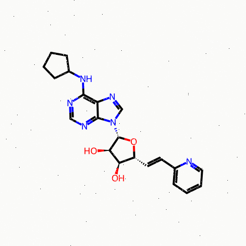 O[C@@H]1[C@H](O)[C@@H](C=Cc2ccccn2)O[C@H]1n1cnc2c(NC3CCCC3)ncnc21